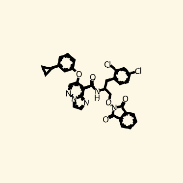 O=C(NC(CON1C(=O)c2ccccc2C1=O)Cc1ccc(Cl)cc1Cl)c1c(Oc2cccc(C3CC3)c2)cnn2ccnc12